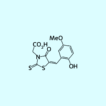 COc1ccc(O)c(C=C2SC(=S)N(CC(=O)O)C2=O)c1